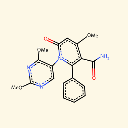 COc1ncc(-n2c(-c3ccccc3)c(C(N)=O)c(OC)cc2=O)c(OC)n1